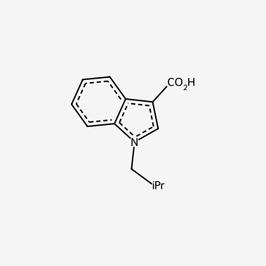 CC(C)Cn1cc(C(=O)O)c2ccccc21